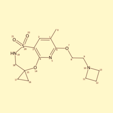 Cc1cc2c(nc1OCCN1CCC1)OC1(CC1)CNS2(=O)=O